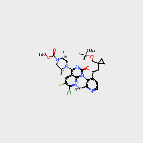 CC(C)c1nccc(CCC2(CO[Si](C)(C)C(C)(C)C)CC2)c1-n1c(=O)nc(N2C[C@@H](C)N(C(=O)OC(C)(C)C)C[C@@H]2C)c2cc(F)c(Cl)nc21